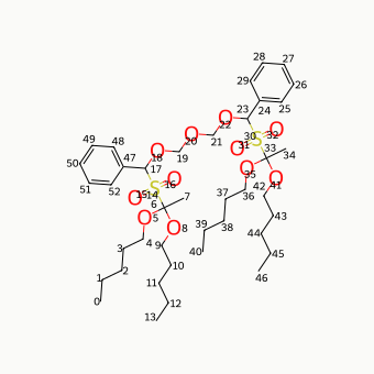 CCCCCOC(C)(OCCCCC)S(=O)(=O)C(OCOCOC(c1ccccc1)S(=O)(=O)C(C)(OCCCCC)OCCCCC)c1ccccc1